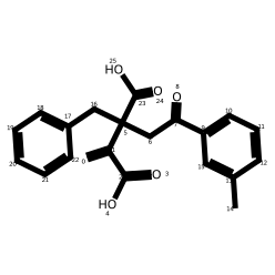 C=C(C(=O)O)C(CC(=O)c1cccc(C)c1)(Cc1ccccc1)C(=O)O